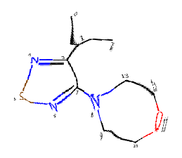 CC(C)c1nsnc1N1CCOCC1